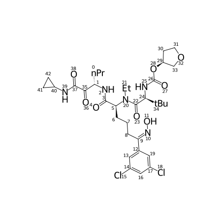 CCC[C@H](NC(=O)[C@H](CCC/C(=N\O)c1cc(Cl)cc(Cl)c1)N(CC)C(=O)[C@@H](NC(=O)O[C@H]1CCOC1)C(C)(C)C)C(=O)C(=O)NC1CC1